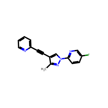 Cc1nn(-c2ccc(F)cn2)cc1C#Cc1ccccn1